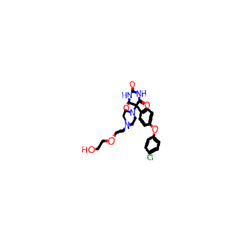 O=C1NC(=O)C(c2ccc(Oc3ccc(Cl)cc3)cc2)(N2CCN(CCOCCO)CC2)C(=O)N1